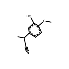 COc1ccc(C(C)C#N)cc1O